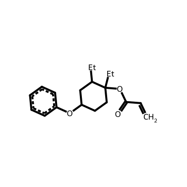 C=CC(=O)OC1(CC)CCC(Oc2ccccc2)CC1CC